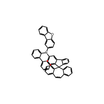 C1=Cc2ccccc2C2(c3ccccc31)c1ccccc1-c1cc(N(c3ccc4oc5ccccc5c4c3)c3ccccc3-c3ccccc3)ccc12